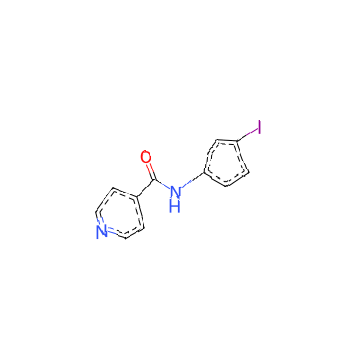 O=C(Nc1ccc(I)cc1)c1ccncc1